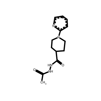 CC(=O)NNC(=O)C1CCN(c2ccccn2)CC1